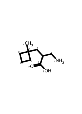 CC1(CC(CN)C(=O)O)CCC1